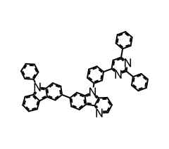 c1ccc(-c2cc(-c3cccc(-n4c5cc(-c6ccc7c(c6)c6ccccc6n7-c6ccccc6)ccc5c5ncccc54)c3)nc(-c3ccccc3)n2)cc1